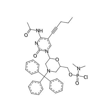 CCCC#Cc1cn(C2CN(C(c3ccccc3)(c3ccccc3)c3ccccc3)CC(COP(=O)(Cl)N(C)C)O2)c(=O)nc1NC(C)=O